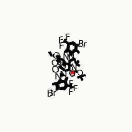 CCOC(=O)C(C(=O)C1(C(=O)C(C(=O)OCC)n2cc3c(C(F)(F)F)cc(Br)c(C)c3n2)CCC(C)(C)N1C(=O)OC(C)(C)C)n1cc2c(C(F)(F)F)cc(Br)c(C)c2n1